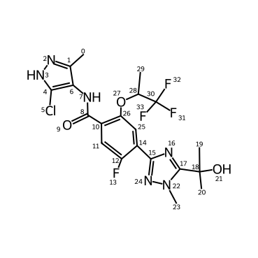 Cc1n[nH]c(Cl)c1NC(=O)c1cc(F)c(-c2nc(C(C)(C)O)n(C)n2)cc1OC(C)C(F)(F)F